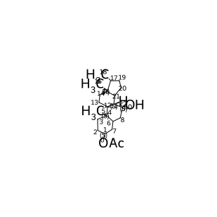 CC(=O)O[C@H]1CC[C@@]2(C)C(C1)C[C@H](O)[C@@H]1C2CC[C@]2(C)C(C)CCC12